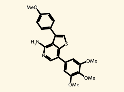 COc1ccc(-c2csc3c(-c4cc(OC)c(OC)c(OC)c4)cnc(N)c23)cc1